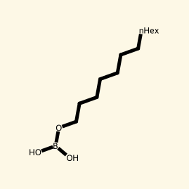 CCCCCCCCCCCCCOB(O)O